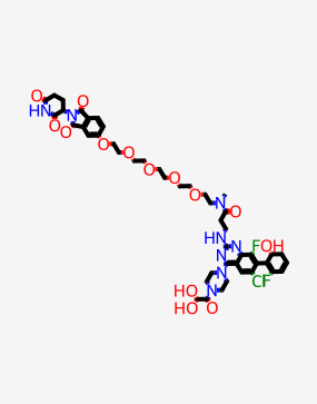 CN(CCOCCOCCOCCOCCOc1ccc2c(c1)C(=O)N(C1CCC(=O)NC1=O)C2=O)C(=O)CCNc1nc(N2CCN(C(=O)C(O)O)CC2)c2cc(Cl)c(C3=C(F)C=CCC3O)c(F)c2n1